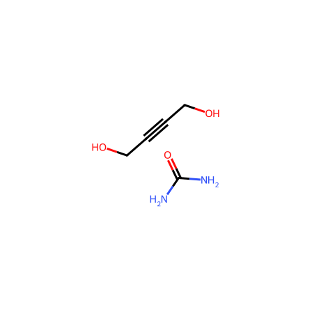 NC(N)=O.OCC#CCO